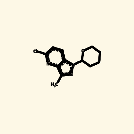 Cc1nn(C2CCCCO2)c2ccc(Cl)nc12